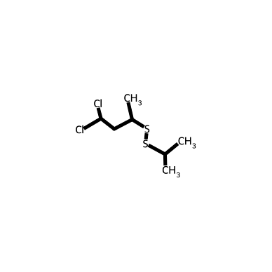 CC(C)SSC(C)CC(Cl)Cl